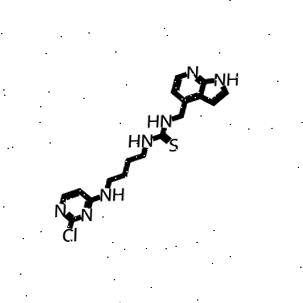 S=C(NCCCCNc1ccnc(Cl)n1)NCc1ccnc2[nH]ccc12